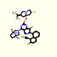 C#Cc1c(F)ccc2cccc(-c3ncc4c(N5C[C@H]6CC[C@@H](C5)N6)nc(OC[C@]56CC(=C(C)C)CN5C[C@H](F)C6)nc4c3F)c12